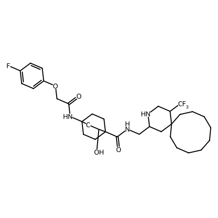 O=C(COc1ccc(F)cc1)NC12CCC(C(=O)NCC3CC4(CCCCCCCCC4)C(C(F)(F)F)CN3)(CC1)C(O)C2